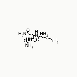 NCCCCC(N)C(=O)NC(CCC(N)=O)C(=O)NCC(N)=O